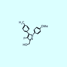 COc1ccc(-n2nc(CO)c(F)c2-c2ccc(C)cc2)cc1